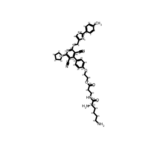 Cc1ccc(-c2nc(CSc3nc(N4CCCC4)c(C#N)c(-c4ccc(OCCOC(=O)CCNC(=O)[C@@H](N)CCCCN)cc4)c3C#N)cs2)cc1